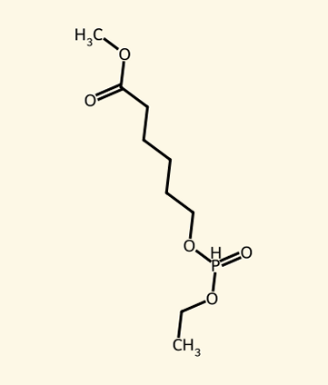 CCO[PH](=O)OCCCCCC(=O)OC